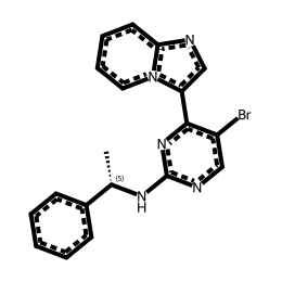 C[C@H](Nc1ncc(Br)c(-c2cnc3ccccn23)n1)c1ccccc1